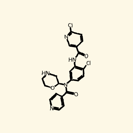 O=C(Nc1cc(N(C(=O)c2ccncc2)C2CNCCO2)ccc1Cl)c1ccc(Cl)nc1